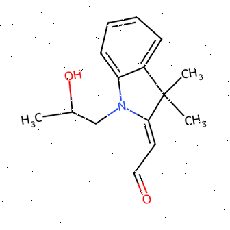 CC(O)CN1/C(=C\C=O)C(C)(C)c2ccccc21